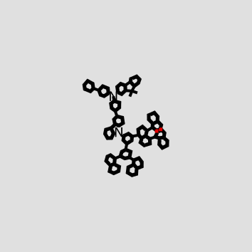 CC1(C)c2ccccc2-c2ccc(N(c3ccc(-c4ccccc4)cc3)c3ccc(-c4ccc5c(c4)c4ccccc4n5-c4cc(-c5cc(-c6cccc7ccccc67)cc(-c6cccc7ccccc67)c5)cc(-c5ccc(-c6cccc7ccccc67)c6c(-c7cccc8ccccc78)cccc56)c4)cc3)cc21